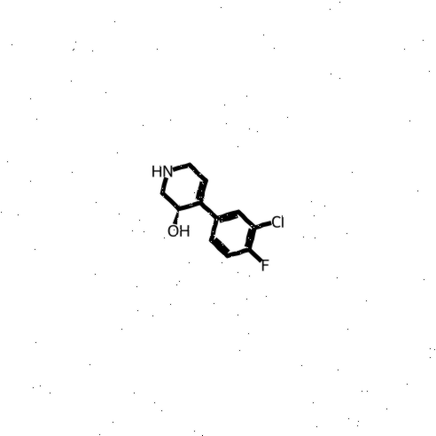 O[C@H]1CNCC=C1c1ccc(F)c(Cl)c1